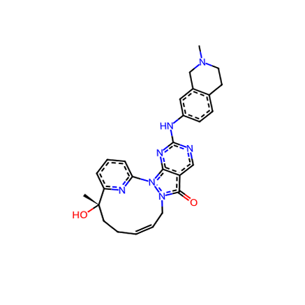 CN1CCc2ccc(Nc3ncc4c(=O)n5n(c4n3)-c3cccc(n3)[C@@](C)(O)CC/C=C\C5)cc2C1